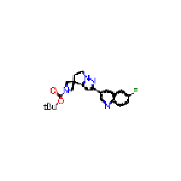 CC(C)(C)OC(=O)N1CC2(CCn3nc(-c4cnc5ccc(F)cc5c4)cc32)C1